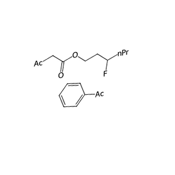 CC(=O)c1ccccc1.CCCC(F)CCOC(=O)CC(C)=O